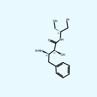 CC(=O)N[C@H](Cc1ccccc1)[C@H](O)C(=O)N[C@H](CO)CC(C)C